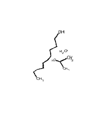 CC(C)O.CCCCCCCCO.O